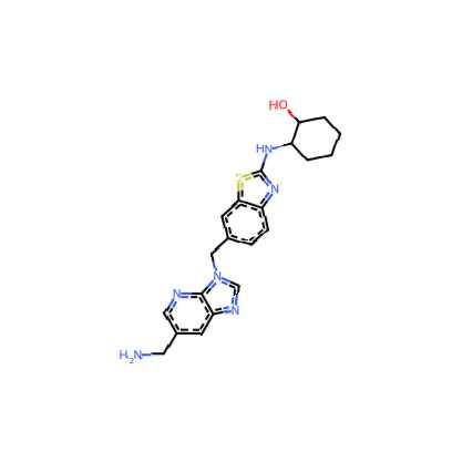 NCc1cnc2c(c1)ncn2Cc1ccc2nc(NC3CCCCC3O)sc2c1